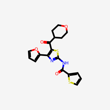 O=C(Nc1nc(-c2ccco2)c(C(=O)C2CCOCC2)s1)c1cccs1